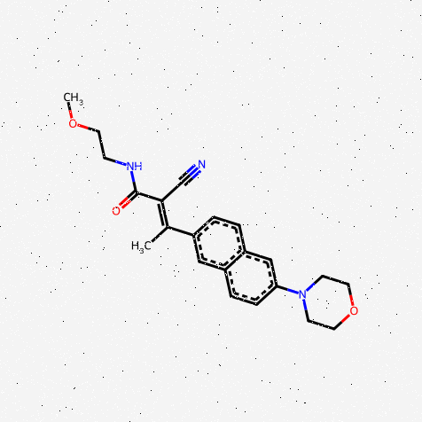 COCCNC(=O)/C(C#N)=C(\C)c1ccc2cc(N3CCOCC3)ccc2c1